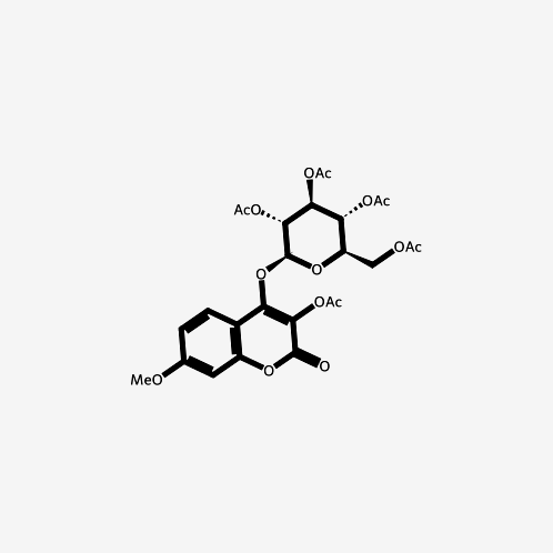 COc1ccc2c(O[C@@H]3O[C@H](COC(C)=O)[C@@H](OC(C)=O)[C@H](OC(C)=O)[C@H]3OC(C)=O)c(OC(C)=O)c(=O)oc2c1